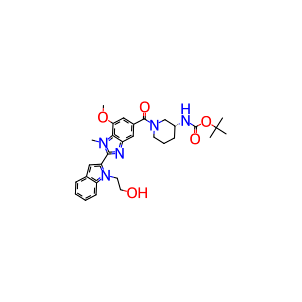 COc1cc(C(=O)N2CCC[C@@H](NC(=O)OC(C)(C)C)C2)cc2nc(-c3cc4ccccc4n3CCO)n(C)c12